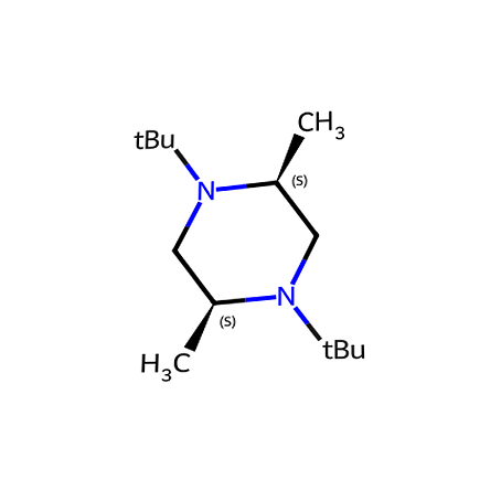 C[C@H]1CN(C(C)(C)C)[C@@H](C)CN1C(C)(C)C